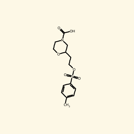 Cc1ccc(S(=O)(=O)OCCC2CN(C(=O)O)CCO2)cc1